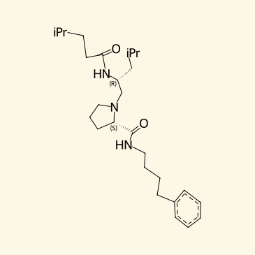 CC(C)CCC(=O)N[C@H](CC(C)C)CN1CCC[C@H]1C(=O)NCCCCc1ccccc1